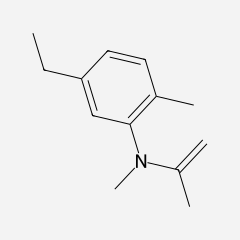 C=C(C)N(C)c1cc(CC)ccc1C